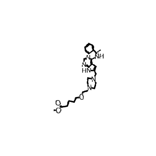 COC(=O)CCCCOCCN1CCN(Cc2cc3c(N[C@H](C)c4ccccc4)ncnc3[nH]2)CC1